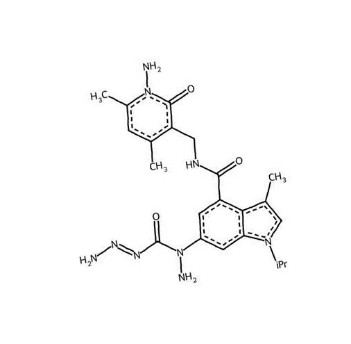 Cc1cc(C)n(N)c(=O)c1CNC(=O)c1cc(N(N)C(=O)N=NN)cc2c1c(C)cn2C(C)C